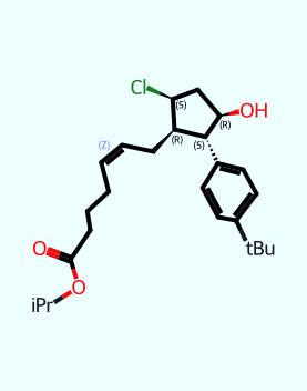 CC(C)OC(=O)CCC/C=C\C[C@@H]1[C@@H](c2ccc(C(C)(C)C)cc2)[C@H](O)C[C@@H]1Cl